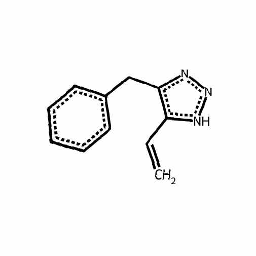 C=Cc1[nH]nnc1Cc1ccccc1